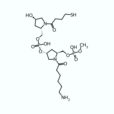 COP(=O)(O)OC[C@@H]1C[C@@H](OP(=O)(O)OC[C@@H]2C[C@@H](O)CN2C(=O)CCCS)CN1C(=O)CCCCCN